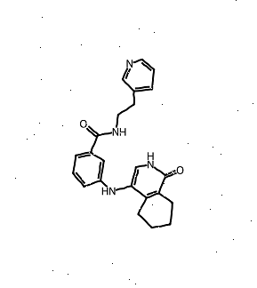 O=C(NCCc1cccnc1)c1cccc(Nc2c[nH]c(=O)c3c2CCCC3)c1